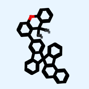 CC1(C)c2ccccc2Oc2cccc(-c3ccc4c(c3)-c3ccccc3C43c4ccccc4-c4c3ccc3ccccc43)c21